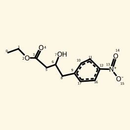 CCOC(=O)CC(O)Cc1ccc([N+](=O)[O-])cc1